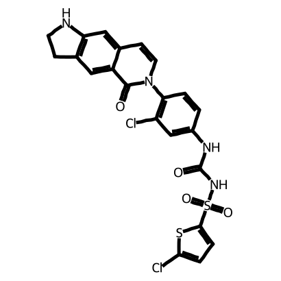 O=C(Nc1ccc(-n2ccc3cc4c(cc3c2=O)CCN4)c(Cl)c1)NS(=O)(=O)c1ccc(Cl)s1